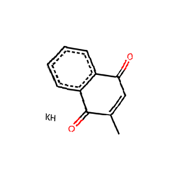 CC1=CC(=O)c2ccccc2C1=O.[KH]